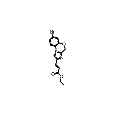 CCOC(=O)/C=C/c1cn2c(n1)COc1cc(Br)ccc1-2